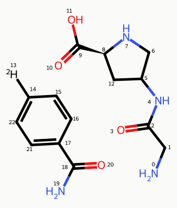 NCC(=O)NC1CN[C@H](C(=O)O)C1.[2H]c1ccc(C(N)=O)cc1